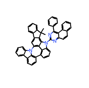 CC1(C)c2ccccc2-c2cc3c4c5c(cccc5n(-c5nc(-c6ccccc6)c6c(ccc7ccccc76)n5)c4c21)c1cccc2c4ccccc4n3c12